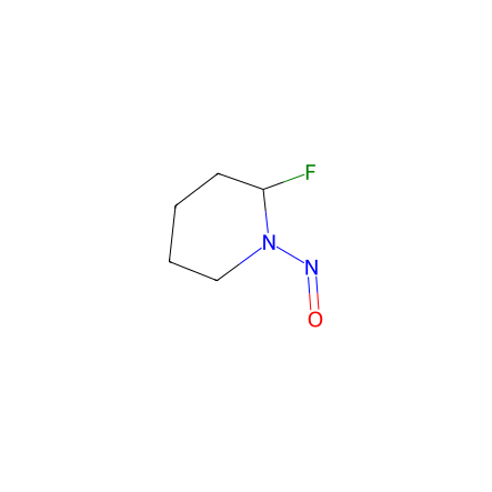 O=NN1CCCCC1F